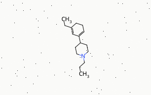 CCCN1CCC(C2=CCCC(CC)=C2)CC1